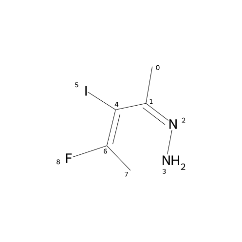 CC(=N/N)/C(I)=C(\C)F